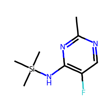 Cc1ncc(F)c(N[Si](C)(C)C)n1